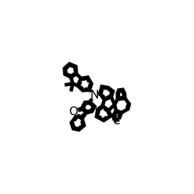 CC1(C)c2ccccc2-c2ccc(N(c3ccc4c(c3)oc3ccccc34)c3cccc4c3-c3ccccc3C43c4ccccc4C=Cc4ccccc43)cc21